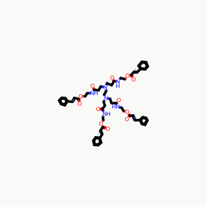 O=C(CCN(CCC(=O)NCCOC(=O)/C=C/c1ccccc1)CCN(CCC(=O)NCCOC(=O)/C=C/c1ccccc1)CCC(=O)NCCOC(=O)/C=C/c1ccccc1)NCCOC(=O)/C=C/c1ccccc1